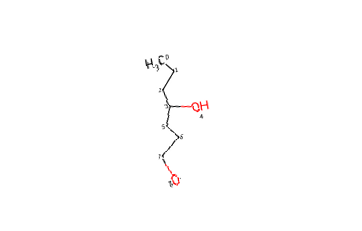 CCCC(O)CCC[O]